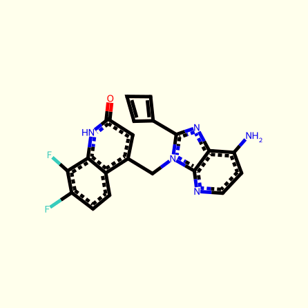 Nc1ccnc2c1nc(C1=CC=C1)n2Cc1cc(=O)[nH]c2c(F)c(F)ccc12